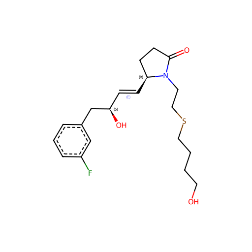 O=C1CC[C@H](/C=C/[C@@H](O)Cc2cccc(F)c2)N1CCSCCCCO